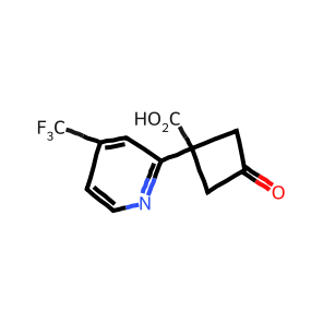 O=C1CC(C(=O)O)(c2cc(C(F)(F)F)ccn2)C1